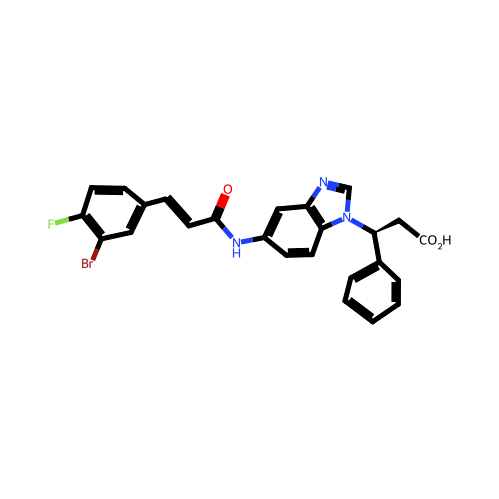 O=C(O)C[C@@H](c1ccccc1)n1cnc2cc(NC(=O)/C=C/c3ccc(F)c(Br)c3)ccc21